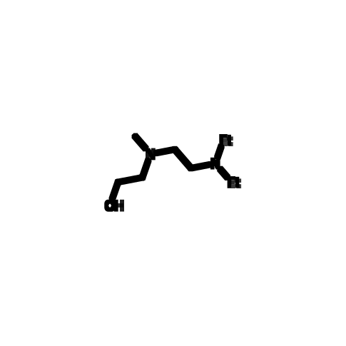 CCN(CC)CCN(C)CCO